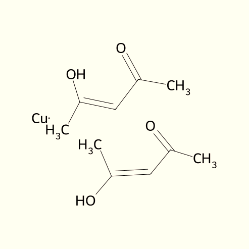 CC(=O)/C=C(/C)O.CC(=O)/C=C(\C)O.[Cu]